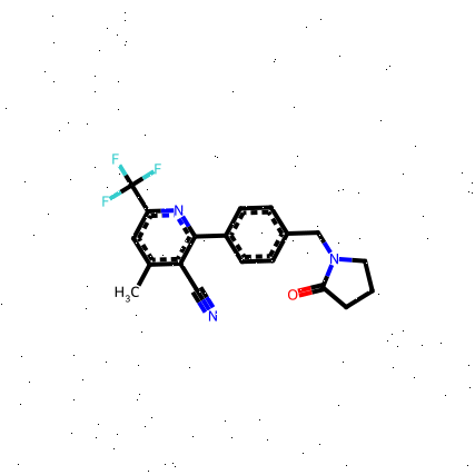 Cc1cc(C(F)(F)F)nc(-c2ccc(CN3CCCC3=O)cc2)c1C#N